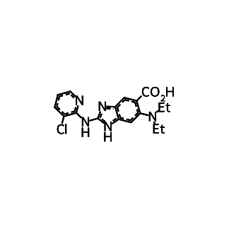 CCN(CC)c1cc2[nH]c(Nc3ncccc3Cl)nc2cc1C(=O)O